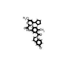 CC1=C=C(C2CCCC2)N2C(=N1)C(=O)Nc1cc(C(=O)N3CCc4cc(Cl)ccc43)c(C)cc12